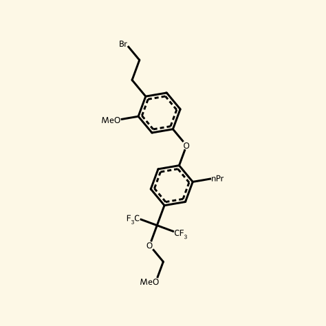 CCCc1cc(C(OCOC)(C(F)(F)F)C(F)(F)F)ccc1Oc1ccc(CCBr)c(OC)c1